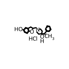 C[C@H](c1ccccc1)C1(O)CCN(CC2Cc3cc(O)ccc3O2)CC1.Cl